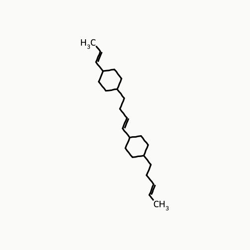 CC=CCCC1CCC(C=CCCC2CCC(C=CC)CC2)CC1